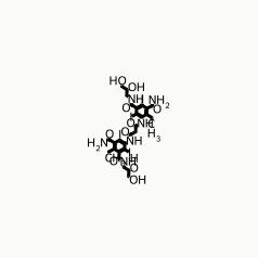 CCc1c(NC(=O)CC(=O)Nc2c(I)c(C(N)=O)c(CC)c(C(=O)NCC(O)CO)c2I)c(I)c(C(=O)NCC(O)CO)c(I)c1C(N)=O